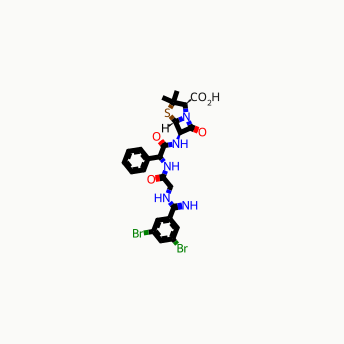 CC1(C)S[C@@H]2[C@H](NC(=O)C(NC(=O)CNC(=N)c3cc(Br)cc(Br)c3)c3ccccc3)C(=O)N2[C@H]1C(=O)O